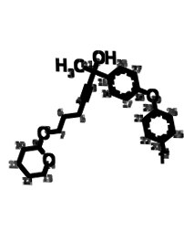 CC(O)(C#CCCCOC1CCCCO1)c1ccc(Oc2ccc(F)cc2)cc1